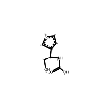 O=C(O)N[C@@H](CO)c1ccsc1